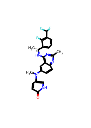 Cc1nc(N[C@H](C)c2cccc(C(F)F)c2F)c2cc(N(C)c3ccc(=O)[nH]c3)ccc2n1